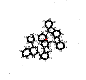 c1ccc(-c2nc(-c3cccc4oc5c(-n6c7ccccc7c7ccc8c(c76)[C@@H](c6ccccc6)c6ccccc6-8)cccc5c34)nc3ccccc23)cc1